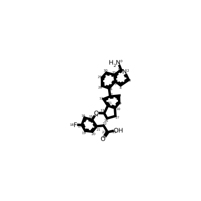 Nc1nccc2c(-c3ccc4c(c3)C(Oc3cc(F)ccc3CC(=O)O)CC4)cccc12